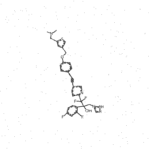 CN(C)Cc1cc(COc2ccc(C#Cc3ccc(C(F)(F)C(O)(Cn4cn[nH]4)c4ccc(F)cc4F)nc3)cc2)cs1